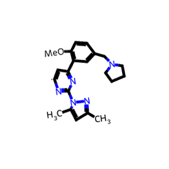 COc1ccc(CN2CCCC2)cc1-c1c[c]nc(-n2nc(C)cc2C)n1